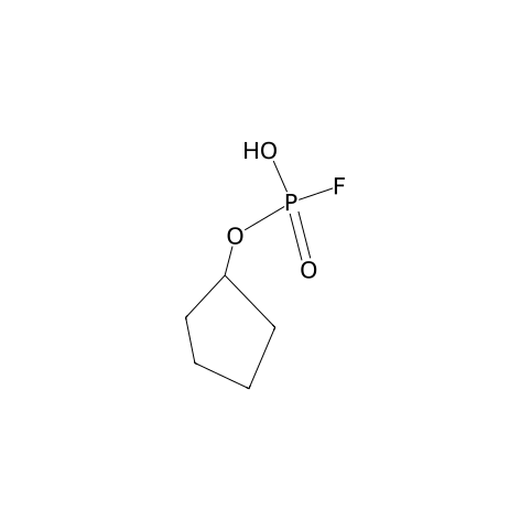 O=P(O)(F)OC1CCCC1